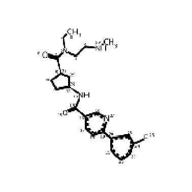 CCN(CCNC)C(=O)[C@@H]1CC[C@H](NC(=O)c2ccc(-c3cccc(F)c3)nc2)C1